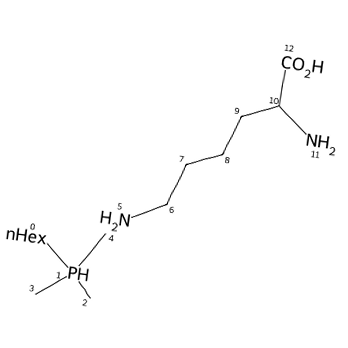 CCCCCC[PH](C)(C)C.NCCCCC(N)C(=O)O